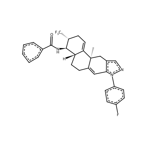 C[C@]12Cc3cnn(-c4ccc(F)cc4)c3C=C1CC[C@H]1C2=CC[C@@H](C(F)(F)F)[C@@H]1NC(=O)c1ccccc1